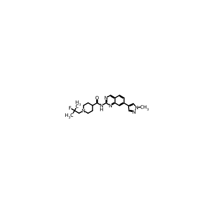 Cn1cc(-c2ccc3cnc(NC(=O)C4CCN(CC(C)(C)F)CC4)nc3c2)cn1